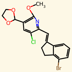 COc1nc(/C=C2\CCc3c(Br)cccc32)c(Cl)cc1C1OCCO1